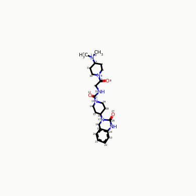 CN(C)C1CCN(C(=O)CNC(=O)N2CCC(N3Cc4ccccc4NC3=O)CC2)CC1